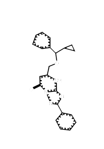 O=c1cc(COC(c2ccccc2)C2CC2)[nH]c2nc(-c3ccccc3)nn12